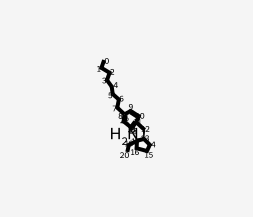 CCCCCCCCc1ccc(C[C@H]2CCC[C@]2(N)CC)cc1